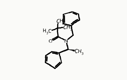 C[C@@H](c1ccccc1)N(Cc1ccccc1)C(=O)C(C)(C)C